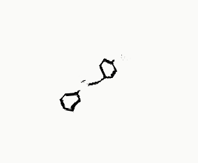 COc1ccc(C[PH](=S)c2ccccc2)cc1